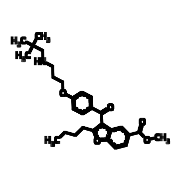 CCCCc1oc2ccc(C(=O)OC)cc2c1C(=O)c1ccc(OCCCNCC(C)(C)C)cc1